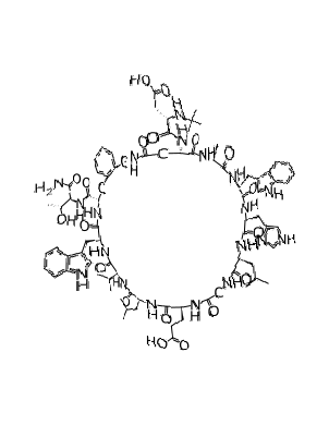 CC(C)C[C@@H]1NC(=O)[C@H](Cc2c[nH]cn2)NC(=O)[C@H](Cc2c[nH]c3ccccc23)NC(=O)[C@H](C)NC(=O)[C@@H](NC(=O)[C@H](CC(=O)O)NC(C)(C)C)CC(=O)NCc2ccccc2C[C@@H](C(=O)N[C@H](C(N)=O)[C@@H](C)O)NC(=O)[C@H](Cc2c[nH]c3ccccc23)NC(=O)[C@H](C(C)C)NC(=O)[C@H](CC(C)C)NC(=O)[C@H](CCC(=O)O)NC(=O)CNC1=O